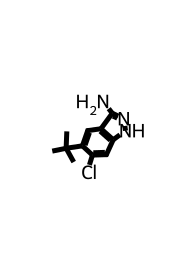 CC(C)(C)c1cc2c(N)n[nH]c2cc1Cl